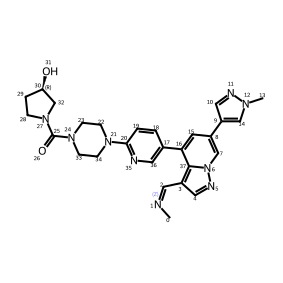 C/N=C\c1cnn2cc(-c3cnn(C)c3)cc(-c3ccc(N4CCN(C(=O)N5CC[C@@H](O)C5)CC4)nc3)c12